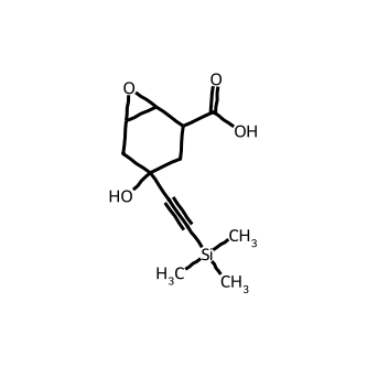 C[Si](C)(C)C#CC1(O)CC2OC2C(C(=O)O)C1